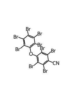 N#Cc1c(Br)c(Br)c(Oc2c(Br)c(Br)c(Br)c(Br)c2Br)c(Br)c1Br